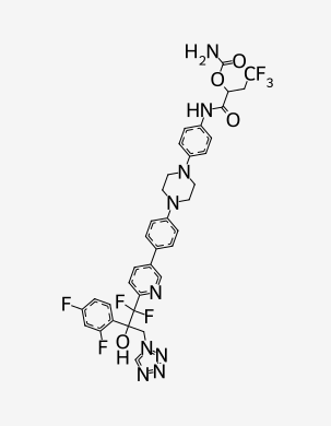 NC(=O)OC(CC(F)(F)F)C(=O)Nc1ccc(N2CCN(c3ccc(-c4ccc(C(F)(F)C(O)(Cn5cnnn5)c5ccc(F)cc5F)nc4)cc3)CC2)cc1